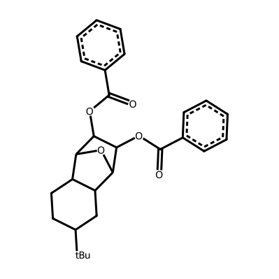 CC(C)(C)C1CCC2C(C1)C1OC2C(OC(=O)c2ccccc2)C1OC(=O)c1ccccc1